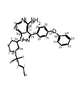 CCCC(C)(C)N1CCCC(n2nc(-c3ccc(Oc4ccccc4)cc3)c3c(N)ncnc32)C1